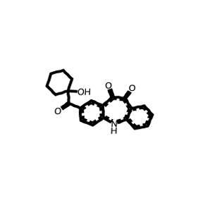 O=C(c1ccc2[nH]c3ccccc3c(=O)c(=O)c2c1)C1(O)CCCCC1